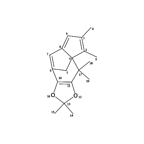 CC1=C(C)C23CC(=CC2=C1)C1=C(OC(C)(C)O1)C3(C)C